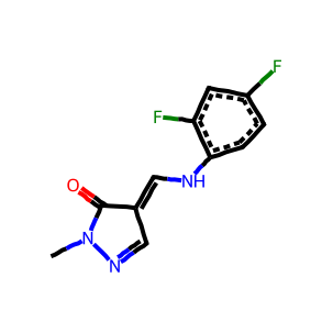 CN1N=CC(=CNc2ccc(F)cc2F)C1=O